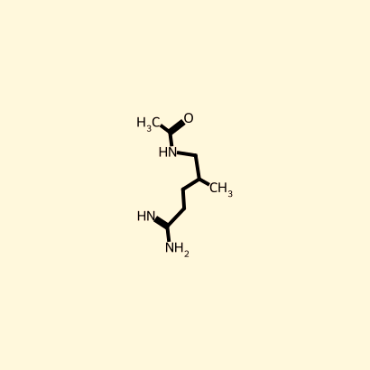 CC(=O)NCC(C)CCC(=N)N